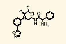 N[C@H](C(=O)NCCN(C(=O)C(Cl)Cl)c1cccc(-c2ccno2)c1)c1ccccc1